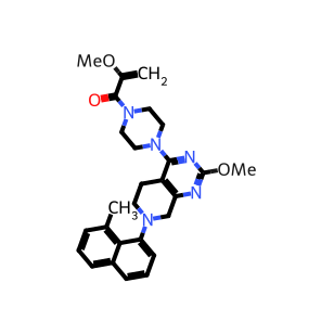 C=C(OC)C(=O)N1CCN(c2nc(OC)nc3c2CCN(c2cccc4cccc(C)c24)C3)CC1